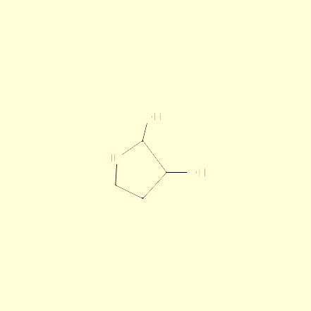 OC1BCCC1O